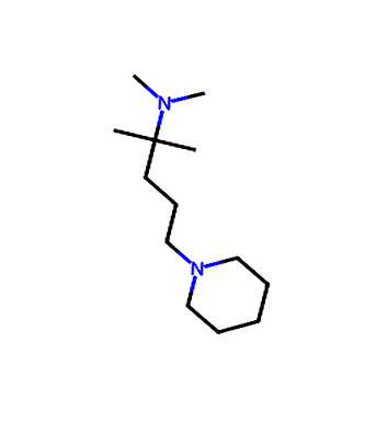 CN(C)C(C)(C)CCCN1CCCCC1